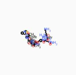 CC[C@H](C)[C@@H]([C@@H](CC(=O)N1CCC[C@H]1[C@H](OC)[C@@H](C)C(=O)N[C@@H](Cc1ccccc1)c1nccs1)OC)N(C)C(=O)[C@@H](NC(=O)C(C)(C)NC(=O)OCc1ccc(NC(=O)[C@H](CCCNC(N)=O)NC(=O)[C@@H](NC(=O)[C@@H](N)CCCCN)C(C)C)cc1)C(C)C